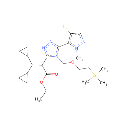 CCOC(=O)C(c1nnc(-c2c(F)cnn2C)n1COCCS(C)(C)C)C(C1CC1)C1CC1